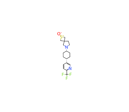 [O-][S+]1CC2(CCN([C@H]3CC[C@@H](c4ccc(C(F)(F)F)nc4)CC3)C2)C1